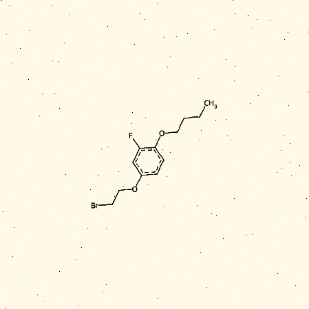 CCCCOc1ccc(OCCBr)cc1F